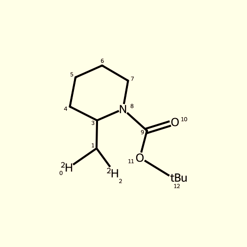 [2H]C([2H])C1CCCCN1C(=O)OC(C)(C)C